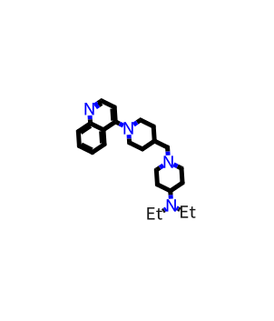 CCN(CC)C1CCN(CC2CCN(c3ccnc4ccccc34)CC2)CC1